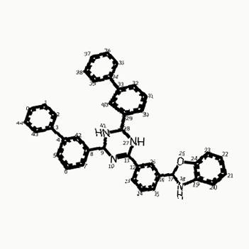 c1ccc(-c2cccc(C3N=C(c4cccc(C5Nc6ccccc6O5)c4)NC(c4cccc(-c5ccccc5)c4)N3)c2)cc1